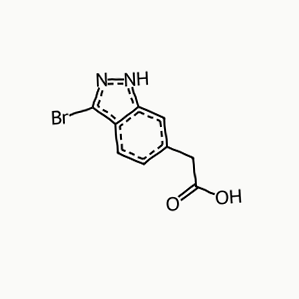 O=C(O)Cc1ccc2c(Br)n[nH]c2c1